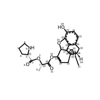 C[C@H](OC(=O)[C@@H]1CCCN1)C(=O)OC1=CC[C@@]2(O)[C@H]3Cc4ccc(O)c5c4C2(CCN3C)C1O5